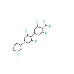 FC1CCCC(C2CC(F)C(C3CC(F)C(C(F)F)C(F)C3)C(F)C2)C1